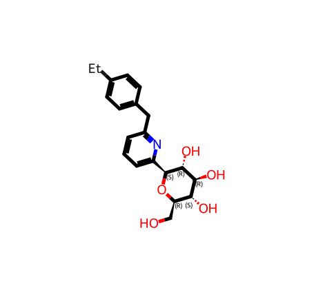 CCc1ccc(Cc2cccc([C@@H]3O[C@H](CO)[C@@H](O)[C@H](O)[C@H]3O)n2)cc1